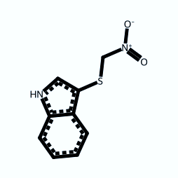 O=[N+]([O-])CSc1c[nH]c2ccccc12